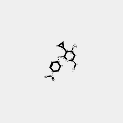 O=[N+]([O-])[C@@H]1C=C[C@H](O[C@@H]2O[C@H](CO)C[C@H](O)C2C2CC2)CC1